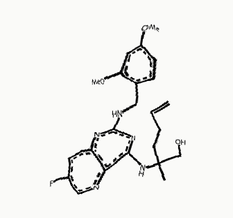 C=CCCC(C)(CO)Nc1nc(NCc2ccc(OC)cc2OC)nc2cc(F)cnc12